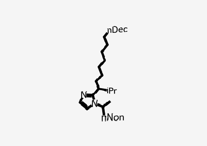 CCCCCCCCCCCCCCCCCC(c1nccn1C(C)CCCCCCCCC)C(C)C